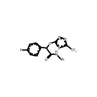 CC(C)NC(=O)C(Oc1nnc(C(F)(F)F)s1)c1ccc(F)cc1